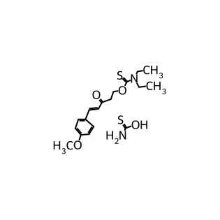 CCN(CC)C(=S)OCCC(=O)C=Cc1ccc(OC)cc1.NC(O)=S